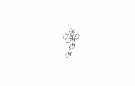 CCN(c1cccc2c1NC(c1ncc(CN3CCCC3)s1)C2)S(=O)(=O)c1cccs1